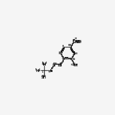 [1H]C([2H])([2H])SSSc1ccc(OC)cc1CC